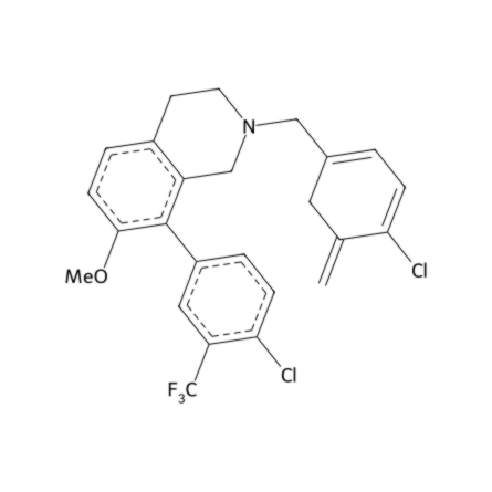 C=C1CC(CN2CCc3ccc(OC)c(-c4ccc(Cl)c(C(F)(F)F)c4)c3C2)=CC=C1Cl